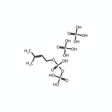 CC(C)=CCOP(=O)(O)OP(=O)(O)O.O=P(O)(O)O.O=P(O)(O)O